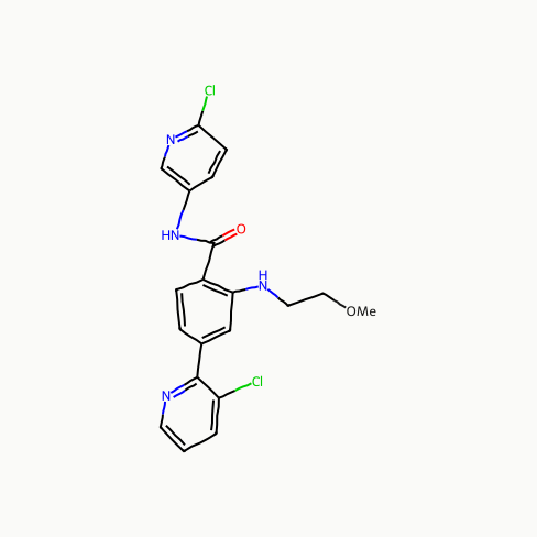 COCCNc1cc(-c2ncccc2Cl)ccc1C(=O)Nc1ccc(Cl)nc1